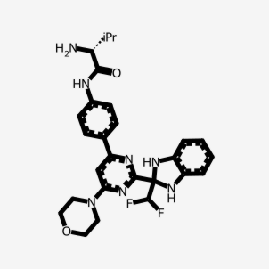 CC(C)[C@@H](N)C(=O)Nc1ccc(-c2cc(N3CCOCC3)nc(C3(C(F)F)Nc4ccccc4N3)n2)cc1